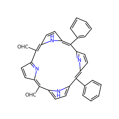 O=Cc1c2nc(c(C=O)c3ccc([nH]3)c(-c3ccccc3)c3nc(c(-c4ccccc4)c4ccc1[nH]4)C=C3)C=C2